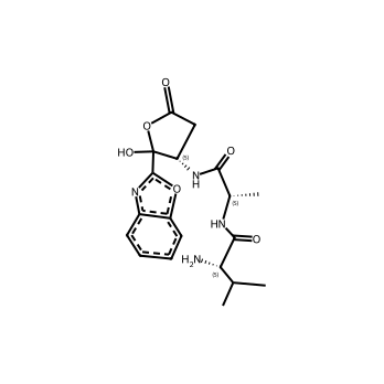 CC(C)[C@H](N)C(=O)N[C@@H](C)C(=O)N[C@H]1CC(=O)OC1(O)c1nc2ccccc2o1